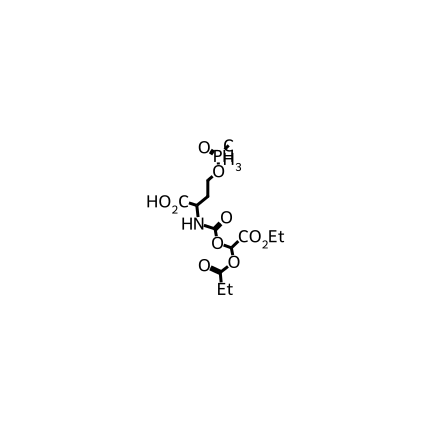 CCOC(=O)C(OC(=O)CC)OC(=O)NC(CCO[PH](C)=O)C(=O)O